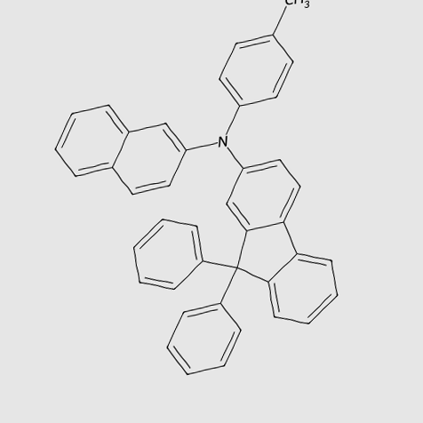 Cc1ccc(N(c2ccc3c(c2)C(c2ccccc2)(c2ccccc2)c2ccccc2-3)c2ccc3ccccc3c2)cc1